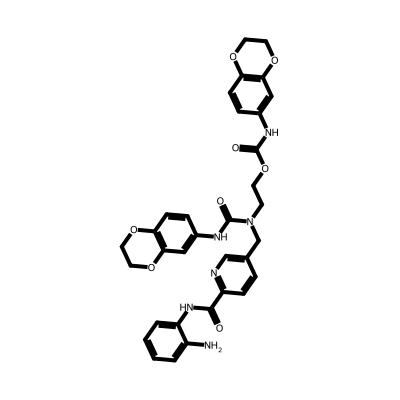 Nc1ccccc1NC(=O)c1ccc(CN(CCOC(=O)Nc2ccc3c(c2)OCCO3)C(=O)Nc2ccc3c(c2)OCCO3)cn1